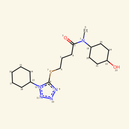 CCN(C(=O)CCCSc1nnnn1C1CCCCC1)C1CCC(O)CC1